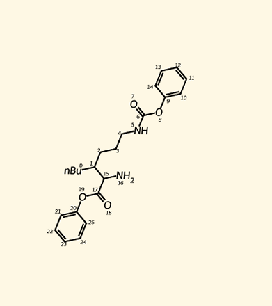 CCCCC(CCCNC(=O)Oc1ccccc1)C(N)C(=O)Oc1ccccc1